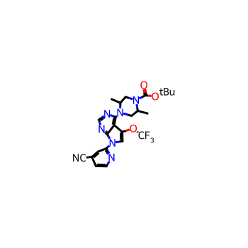 CC1CN(c2ncnc3c2c(OC(F)(F)F)cn3-c2cc(C#N)ccn2)C(C)CN1C(=O)OC(C)(C)C